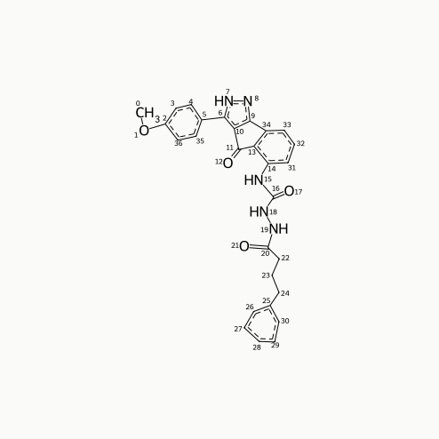 COc1ccc(-c2[nH]nc3c2C(=O)c2c(NC(=O)NNC(=O)CCCc4ccccc4)cccc2-3)cc1